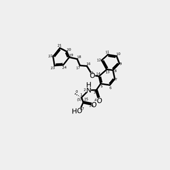 C[C@H](NC(=O)c1ccc2ccccc2c1OCCCc1ccccc1)C(=O)O